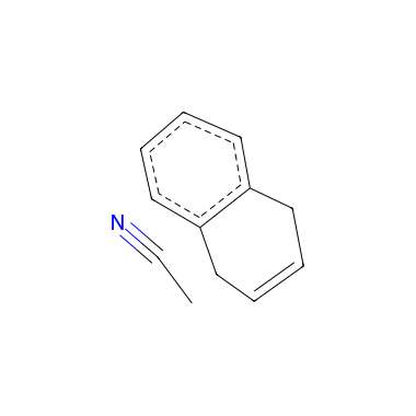 C1=CCc2ccccc2C1.CC#N